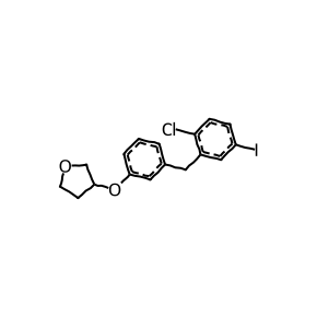 Clc1ccc(I)cc1Cc1cccc(OC2CCOC2)c1